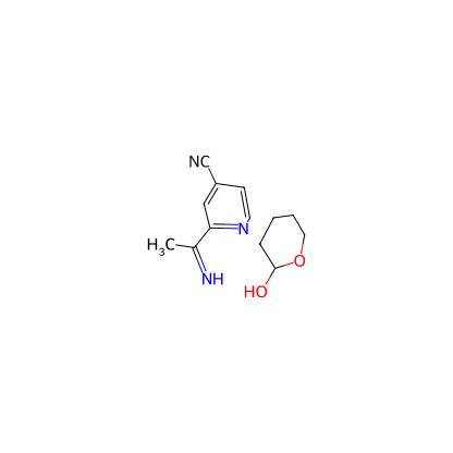 CC(=N)c1cc(C#N)ccn1.OC1CCCCO1